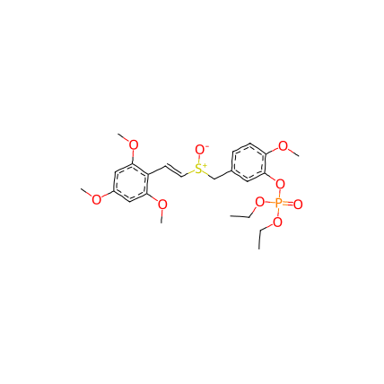 CCOP(=O)(OCC)Oc1cc(C[S+]([O-])C=Cc2c(OC)cc(OC)cc2OC)ccc1OC